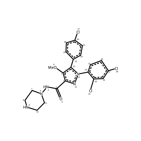 COc1c(C(=O)NN2CCNCC2)nn(-c2ccc(Cl)cc2Cl)c1-c1ccc(Cl)cc1